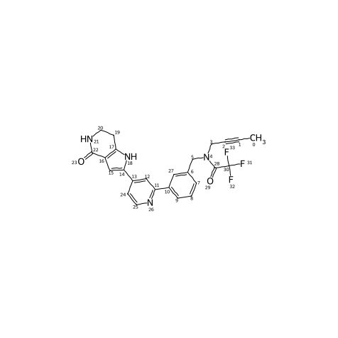 CC#CCN(Cc1cccc(-c2cc(-c3cc4c([nH]3)CCNC4=O)ccn2)c1)C(=O)C(F)(F)F